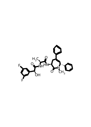 C[C@H](NC(=O)[C@@H](O)c1cc(F)cc(F)c1)C(=O)N[C@H]1CC(c2ccccc2)=C[C@H](c2ccccc2)N(C)C1=O